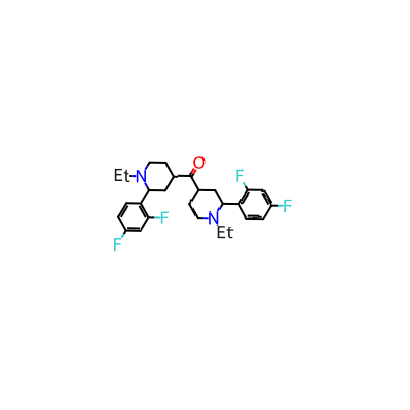 CCN1CCC(C(=O)C2CCN(CC)C(c3ccc(F)cc3F)C2)CC1c1ccc(F)cc1F